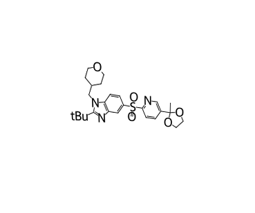 CC(C)(C)c1nc2cc(S(=O)(=O)c3ccc(C4(C)OCCO4)cn3)ccc2n1CC1CCOCC1